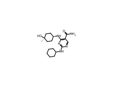 C[C@]1(O)CC[C@@H](Nc2nc(NC3CCCCC3)ncc2C(N)=O)CC1